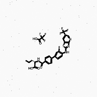 CCC[C@H](NC(=O)c1ccc(-c2ccc(Nc3nc4ncc(C(F)(F)F)cc4s3)c(F)c2)cc1)C(=O)O.O=C(O)C(F)(F)F